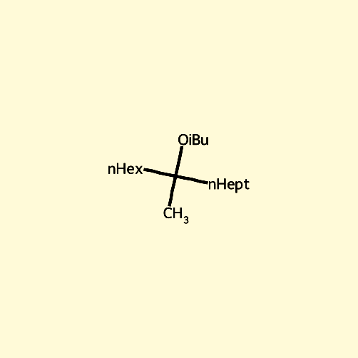 CCCCCCCC(C)(CCCCCC)OCC(C)C